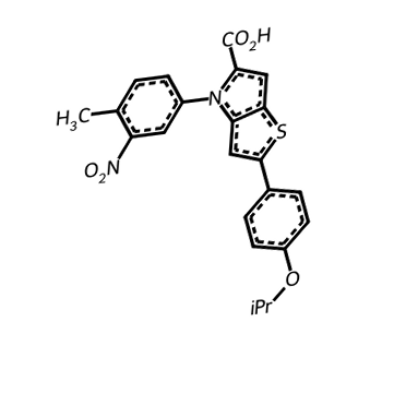 Cc1ccc(-n2c(C(=O)O)cc3sc(-c4ccc(OC(C)C)cc4)cc32)cc1[N+](=O)[O-]